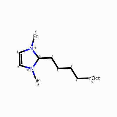 CCCCCCCCCCCCC1N(CC)C=CN1C(C)C